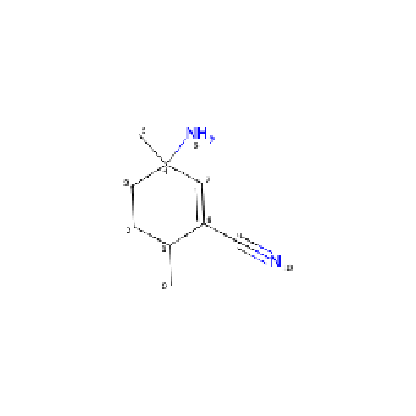 CC1CCC(C)(N)C=C1C#N